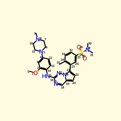 COc1cc(N2CCN(C)CC2)ccc1Nc1ncc2ccc(-c3cc(S(=O)(=O)N(C)C)ccc3C)n2n1